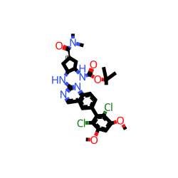 COc1cc(OC)c(Cl)c(-c2ccc3nc(NC4C[C@@H](C(=O)N(C)C)CC4NC(=O)OC(C)(C)C)ncc3c2)c1Cl